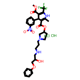 COC(=O)C1=C(C(F)(F)F)NC(C)=C(C(=O)OC2CCN(CCCNCC(O)COc3ccccc3)C2)C1c1cccc([N+](=O)[O-])c1.Cl.Cl